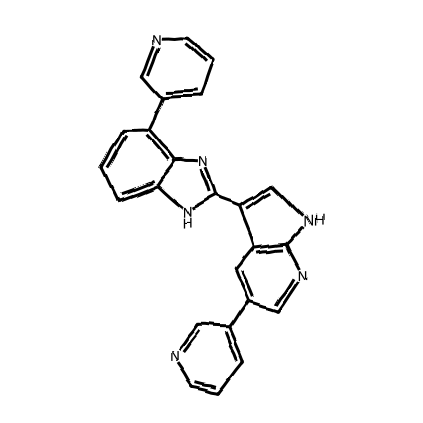 c1cncc(-c2cnc3[nH]cc(-c4nc5c(-c6cccnc6)cccc5[nH]4)c3c2)c1